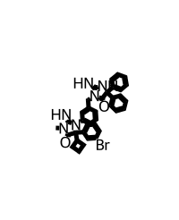 CN1C(=N)N(c2cccc(CN3C(=N)NC(c4ccccc4)(c4ccccc4)C3=O)c2)C(c2cccc(Br)c2)(C2CCC2)C1=O